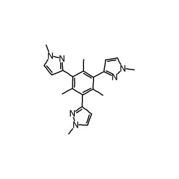 Cc1c(-c2ccn(C)n2)c(C)c(-c2ccn(C)n2)c(C)c1-c1ccn(C)n1